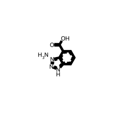 N.O=C(O)c1cccc2[nH]nnc12